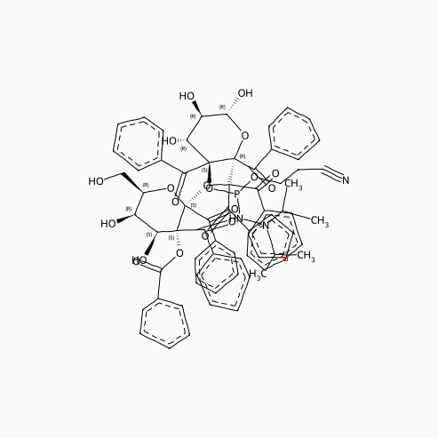 CC(C)N(NP(OCCC#N)O[C@@]1(C(=O)c2ccccc2)[C@H](O)[C@@H](O)[C@H](O)O[C@]1(C(=O)c1ccccc1)C(O[C@@]1(C(=O)c2ccccc2)O[C@H](CO)[C@H](O)[C@H](O)[C@]1(OC(=O)c1ccccc1)C(=O)c1ccccc1)(C(=O)c1ccccc1)C(=O)c1ccccc1)C(C)C